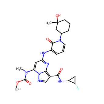 CN(C(=O)OC(C)(C)C)c1cc(Nc2cccn(C3CCC[C@@](C)(O)C3)c2=O)nc2c(C(=O)N[C@@H]3C[C@@H]3F)cnn12